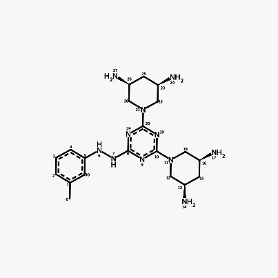 Cc1cccc(NNc2nc(N3C[C@H](N)C[C@H](N)C3)nc(N3C[C@H](N)C[C@H](N)C3)n2)c1